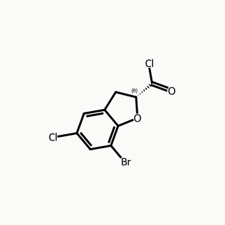 O=C(Cl)[C@H]1Cc2cc(Cl)cc(Br)c2O1